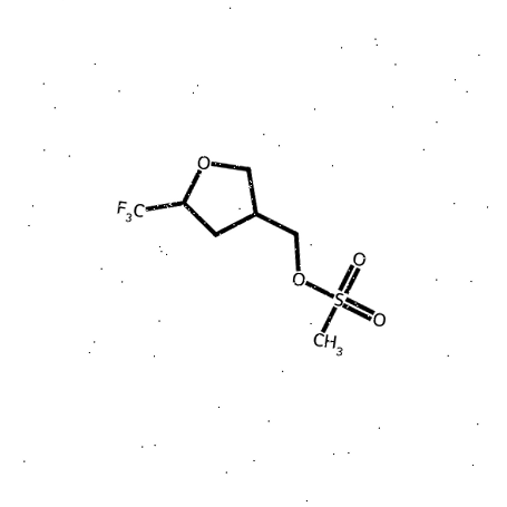 CS(=O)(=O)OCC1COC(C(F)(F)F)C1